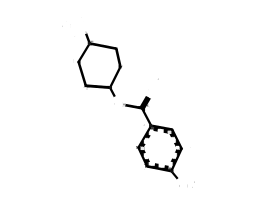 CC(=O)Oc1ccc(C(=O)OC2CCC(C(=O)O)CC2)cc1